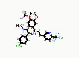 CNC(=O)[C@H](N[C@H](CCc1ccc(C(F)(F)F)nc1)c1ccc(OC(F)F)c(OC)c1)c1ccc(Cl)cc1